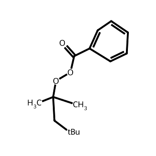 CC(C)(C)CC(C)(C)OOC(=O)c1ccccc1